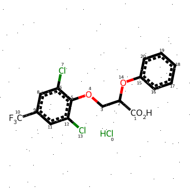 Cl.O=C(O)C(COc1c(Cl)cc(C(F)(F)F)cc1Cl)Oc1ccccc1